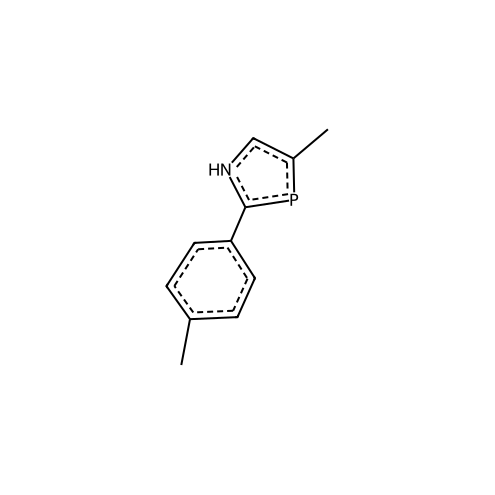 Cc1ccc(-c2[nH]cc(C)p2)cc1